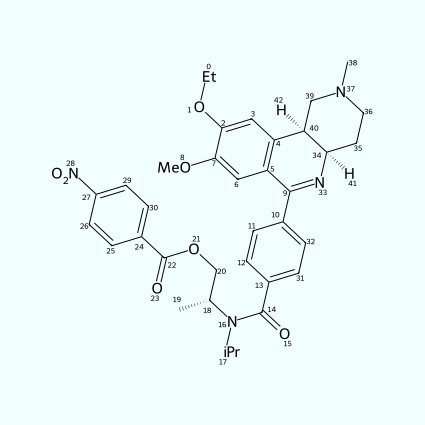 CCOc1cc2c(cc1OC)C(c1ccc(C(=O)N(C(C)C)[C@H](C)COC(=O)c3ccc([N+](=O)[O-])cc3)cc1)=N[C@@H]1CCN(C)C[C@H]21